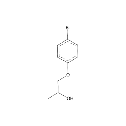 CC(O)COc1ccc(Br)cc1